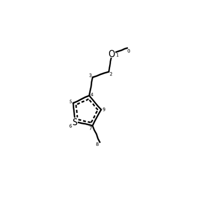 COCCc1csc(C)c1